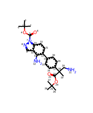 CC(C)(C)OC(=O)n1ncc2c(N)c(-c3ccc(C(C)(CN)C(=O)OC(C)(C)C)cc3)ccc21